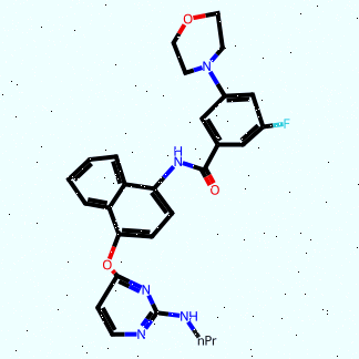 CCCNc1nccc(Oc2ccc(NC(=O)c3cc(F)cc(N4CCOCC4)c3)c3ccccc23)n1